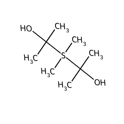 CC(C)(O)S(C)(C)C(C)(C)O